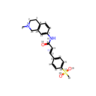 CN1CCc2ccc(NC(=O)/C=C/c3ccc(S(C)(=O)=O)cc3)cc2C1